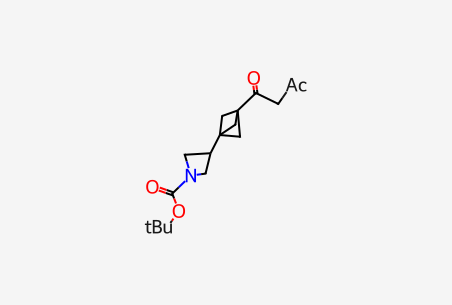 CC(=O)CC(=O)C12CC(C3CN(C(=O)OC(C)(C)C)C3)(C1)C2